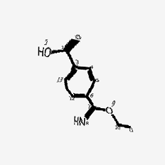 C=C(O)c1ccc(C(=N)OCC)cc1